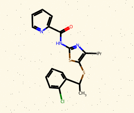 CC(C)c1nc(NC(=O)c2ccccn2)sc1SC(C)c1ccccc1Cl